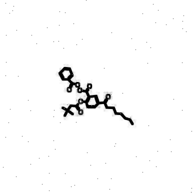 CCCCCCCC(=O)c1ccc(OC(=O)CC(C)(C)C)c(C(=O)OOC(=O)c2ccccc2)c1